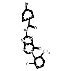 Cc1cccc(Cl)c1-n1cnc2nc(NC(=O)c3ccc(Br)cc3)sc2c1=O